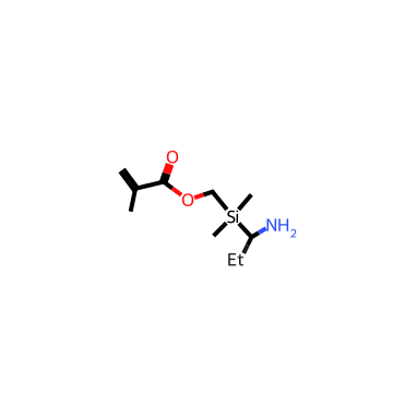 C=C(C)C(=O)OC[Si](C)(C)C(N)CC